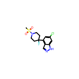 CS(=O)(=O)N1CCC(F)(c2cc(Cl)cc3[nH]ncc23)CC1